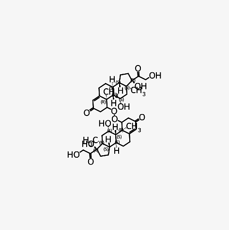 C[C@]12C[C@H](O)[C@H]3[C@@H](CCC4=CC(=O)CC(OOC5CC(=O)C=C6CC[C@@H]7[C@H]([C@@H](O)C[C@@]8(C)[C@H]7CC[C@]8(O)C(=O)CO)[C@]65C)[C@@]43C)[C@@H]1CC[C@]2(O)C(=O)CO